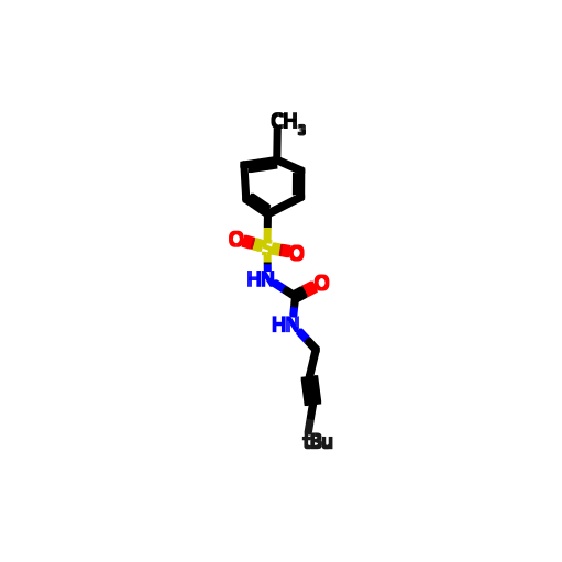 Cc1ccc(S(=O)(=O)NC(=O)NCC#CC(C)(C)C)cc1